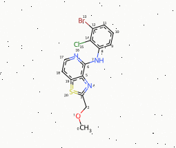 COCc1nc2c(Nc3cccc(Br)c3Cl)nccc2s1